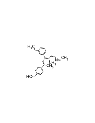 C=Cc1cccc(C(/C=C(\C)c2ccc(CO)cc2)=C(C)\C=C/N=C\C)c1